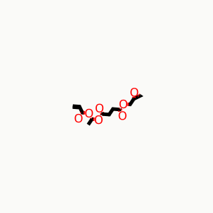 C=CC(=O)OC(C)OC(=O)CCC(=O)OCC1CO1